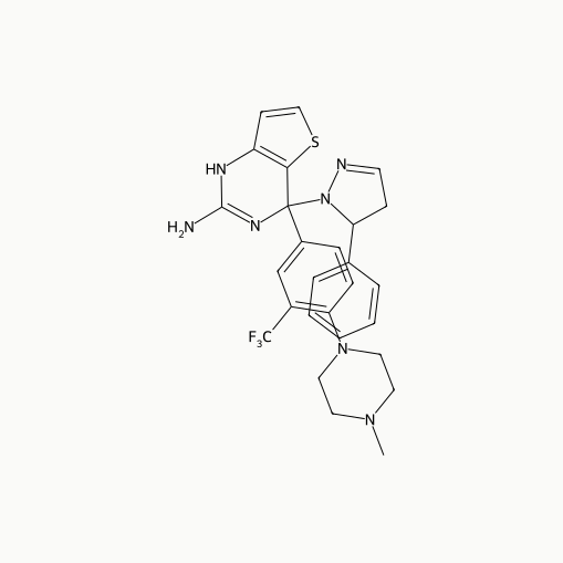 CN1CCN(c2ccc(C3(N4N=CCC4c4ccccc4)N=C(N)Nc4ccsc43)cc2C(F)(F)F)CC1